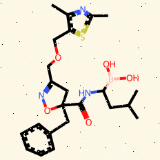 Cc1nc(C)c(COCC2=NOC(Cc3ccccc3)(C(=O)NC(CC(C)C)B(O)O)C2)s1